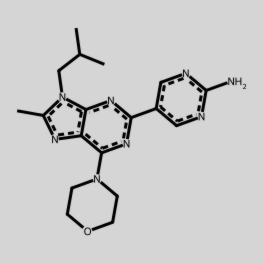 Cc1nc2c(N3CCOCC3)nc(-c3cnc(N)nc3)nc2n1CC(C)C